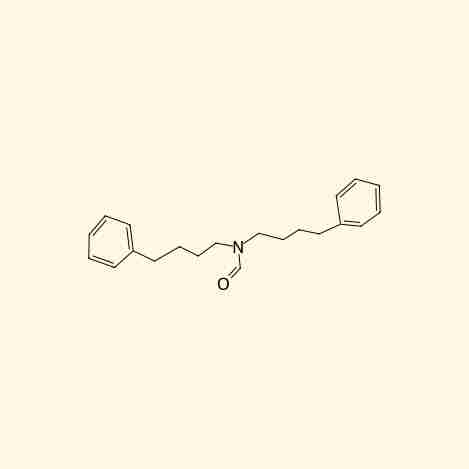 O=CN(CCCCc1ccccc1)CCCCc1ccccc1